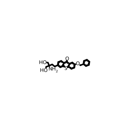 NC(CO)(CO)CCc1ccc2c(=O)c3cc(OCc4ccccc4)ccc3sc2c1